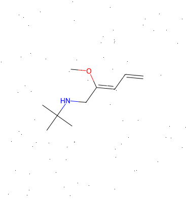 C=C/C=C(/CNC(C)(C)C)OC